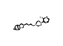 Clc1nccnc1N1CCN(CCCCN2CC3=C4CCC(C3C2)C2CC42)CC1